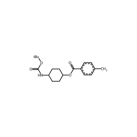 Cc1ccc(C(=O)OC2CCC(NC(=O)OC(C)(C)C)CC2)cc1